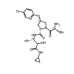 CCC[C@H](NC(=O)[C@@H]1C[C@@H](Oc2ccc(Cl)cn2)CN1C(=O)[C@@H](N)C(C)(C)C)C(O)C(=O)NC1CC1